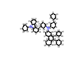 c1ccc(-c2cccc(N(c3cccc(-c4cccc5c4c4ccccc4n5-c4ccccc4)c3)c3ccc4c(c3)c(-c3ccccc3)c(-c3ccccc3)c3ccccc34)c2)cc1